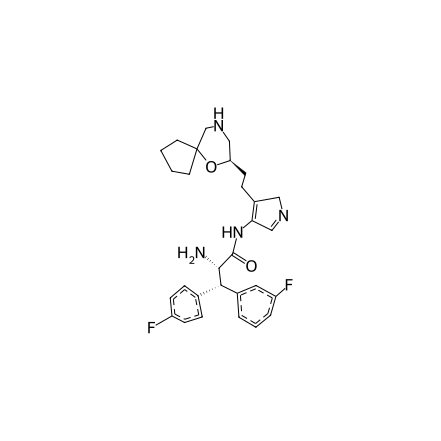 N[C@H](C(=O)NC1=C(CC[C@@H]2CNCC3(CCCC3)O2)CN=C1)[C@@H](c1ccc(F)cc1)c1cccc(F)c1